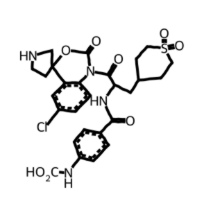 O=C(O)Nc1ccc(C(=O)NC(CC2CCS(=O)(=O)CC2)C(=O)N2C(=O)OC3(CCNC3)c3cc(Cl)ccc32)cc1